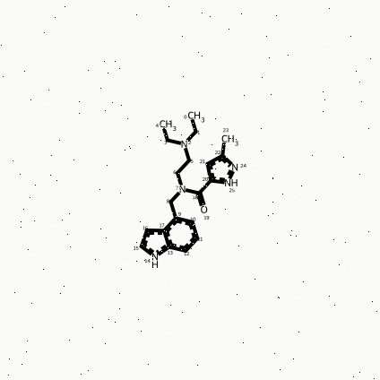 CCN(CC)CCN(Cc1cccc2[nH]ccc12)C(=O)c1cc(C)n[nH]1